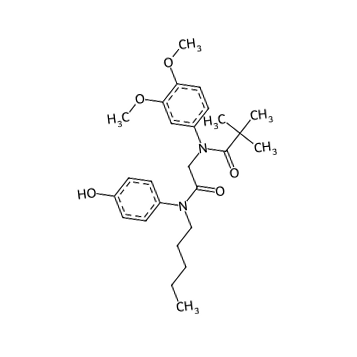 CCCCCN(C(=O)CN(C(=O)C(C)(C)C)c1ccc(OC)c(OC)c1)c1ccc(O)cc1